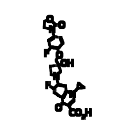 O=C(O)c1cn(C2CC2)c2cc(N3CCC(O)(COc4ccc(N5CCOC5=O)cc4F)C3)c(F)cc2c1=O